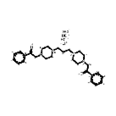 Cl.Cl.Cl.Cl.O=C(CN1CCN(CCCN2CCN(CC(=O)c3ccccc3)CC2)CC1)c1ccccc1